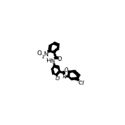 O=C(Nc1ccc(Cl)c(-c2nc3cc(Cl)ccc3o2)c1)c1ccccc1[N+](=O)[O-]